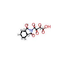 O=C(O)C(=O)C(=O)C(=O)N1C(=O)c2ccccc2C1=O